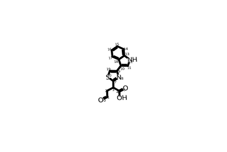 O=CCC(C(=O)O)c1nc(-c2c[nH]c3ccccc23)cs1